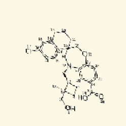 C[C@@]1(CO)CC[C@@H]1CN1CC2(CCCc3cc(Cl)ccc32)COc2ccc(C(=O)O)cc21